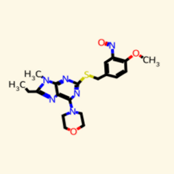 CCc1nc2c(N3CCOCC3)nc(SCc3ccc(OC)c(N=O)c3)nc2n1C